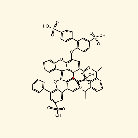 CC(C)c1cccc(C(C)C)c1-n1c(=O)c2cc(Oc3ccc(S(=O)(=O)O)cc3-c3ccc(S(=O)(=O)O)cc3)c3oc4ccccc4c4c(Oc5c(-c6ccccc6)cc(S(=O)(=O)O)cc5-c5ccc(S(=O)(=O)O)cc5)cc(c1=O)c2c34